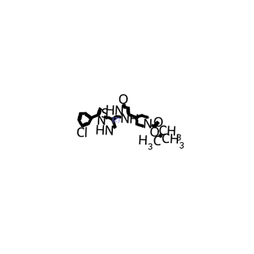 CC(C)(C)OC(=O)N1CCC(C2=CC(=O)N/C(=C(/C=N)c3nc(-c4cccc(Cl)c4)cs3)N2)CC1